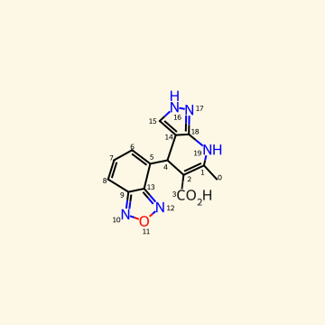 CC1=C(C(=O)O)C(c2cccc3nonc23)c2c[nH]nc2N1